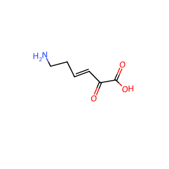 NCCC=CC(=O)C(=O)O